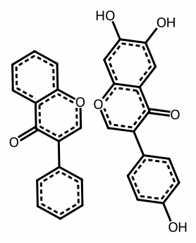 O=c1c(-c2ccc(O)cc2)coc2cc(O)c(O)cc12.O=c1c(-c2ccccc2)coc2ccccc12